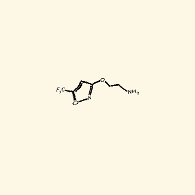 NCCOc1cc(C(F)(F)F)on1